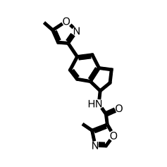 Cc1cc(-c2ccc3c(c2)CCC3NC(=O)c2ocnc2C)no1